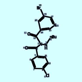 CCCCNN(C(=O)c1ccc(Cl)cc1)C(=O)c1cncc(Br)c1